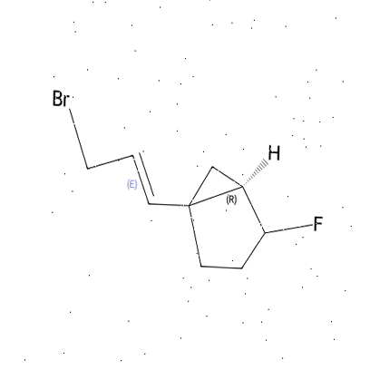 FC1CCC2(/C=C/CBr)C[C@@H]12